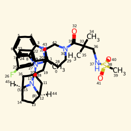 Cc1nc2ccccc2n1[C@H]1C[C@H]2CC[C@@H](C1)N2CCC1(c2cccc(F)c2)CCN(C(=O)C(C)(C)CNS(C)(=O)=O)CC1